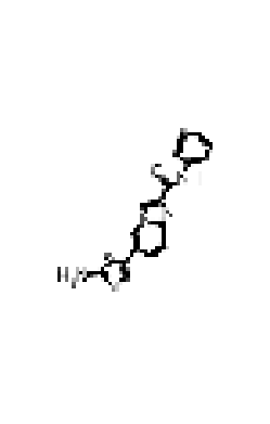 Nc1ncc(-c2ccc3nc(C(=O)Nc4ccccc4)cn3c2)s1